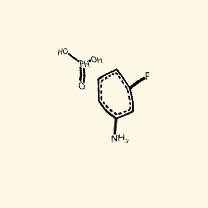 Nc1cccc(F)c1.O=[PH](O)O